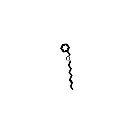 CC/C=C/CCCCCOCc1ccccc1